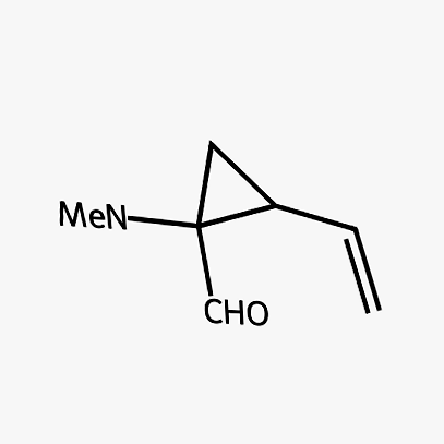 C=CC1CC1(C=O)NC